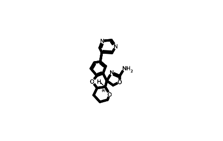 NC1=NC2(CO1)c1cc(-c3cncnc3)ccc1OC1CCCO[C@@H]12